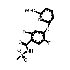 COc1cccc(Oc2cc(F)c(C(=O)NS(C)(=O)=O)cc2F)n1